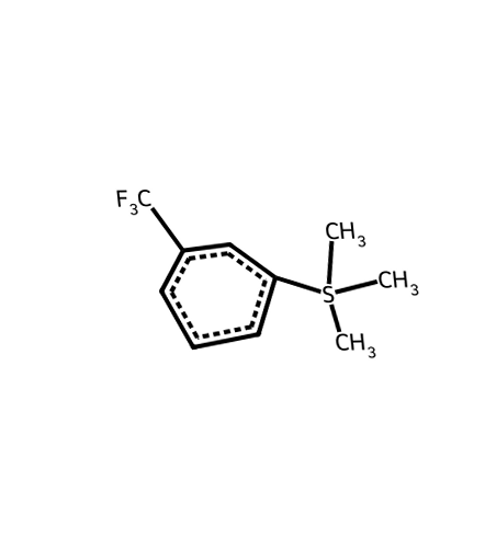 CS(C)(C)c1cccc(C(F)(F)F)c1